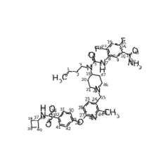 CCCCN(C(=O)Nc1cc(C(N)=O)c(F)cc1F)C1CCN(Cc2ccc(Oc3ccc(S(=O)(=O)NC4CCC4)cc3)nc2C)CC1